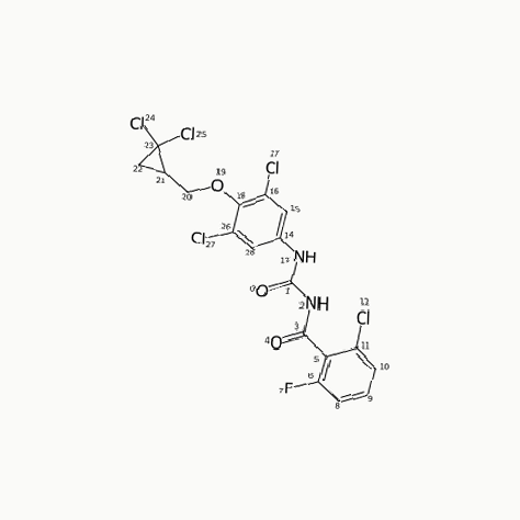 O=C(NC(=O)c1c(F)cccc1Cl)Nc1cc(Cl)c(OCC2CC2(Cl)Cl)c(Cl)c1